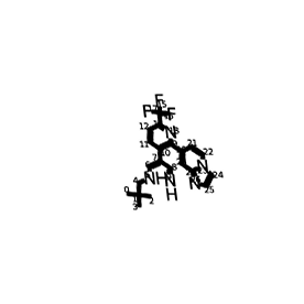 CC(C)(C)CN/C=C(\C=N)c1ccc(C(F)(F)F)nc1-c1ccn2ccnc2c1